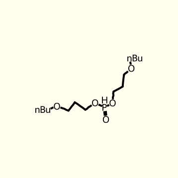 CCCCOCCCO[PH](=O)OCCCOCCCC